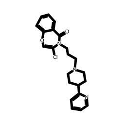 O=C1c2ccccc2OC=C(Cl)N1CCCN1CCC(c2ccccn2)CC1